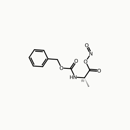 C[C@H](NC(=O)OCc1ccccc1)C(=O)ON=O